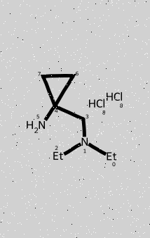 CCN(CC)CC1(N)CC1.Cl.Cl